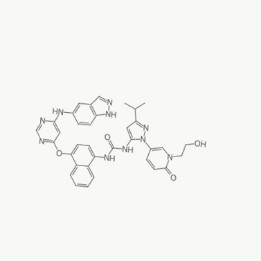 CC(C)c1cc(NC(=O)Nc2ccc(Oc3cc(Nc4ccc5[nH]ncc5c4)ncn3)c3ccccc23)n(-c2ccc(=O)n(CCO)c2)n1